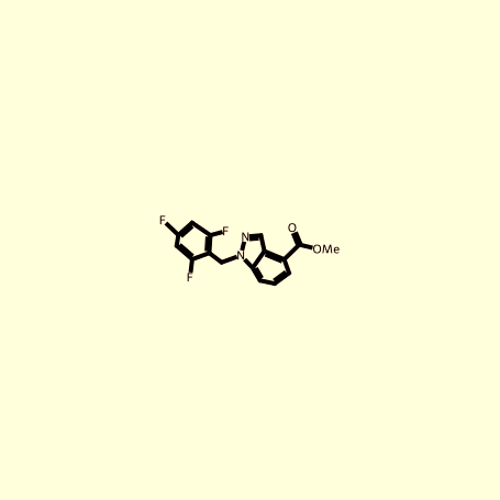 COC(=O)c1cccc2c1cnn2Cc1c(F)cc(F)cc1F